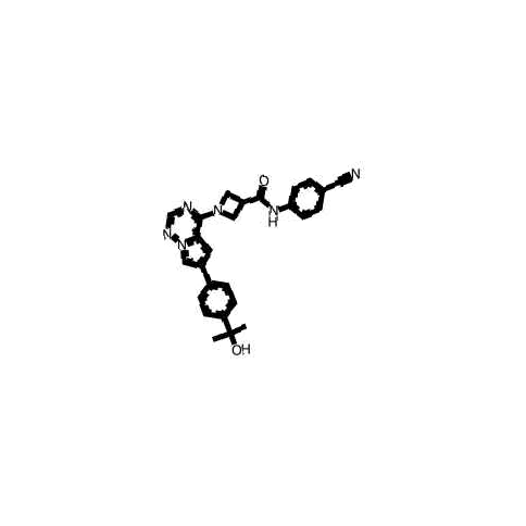 CC(C)(O)c1ccc(-c2cc3c(N4CC(C(=O)Nc5ccc(C#N)cc5)C4)ncnn3c2)cc1